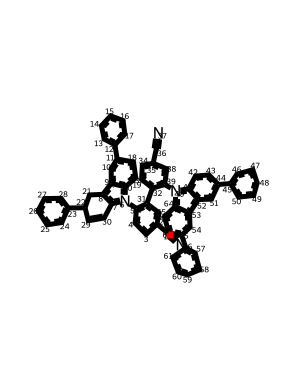 N#Cc1ccc(-n2c3c(c4cc(-c5ccccc5)ccc42)CC(c2ccccc2)C=C3)c(-c2ccc(C#N)cc2-n2c3ccc(-c4ccccc4)cc3c3cc(-c4ccccc4)ccc32)c1